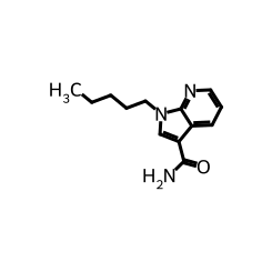 CCCCCn1cc(C(N)=O)c2cccnc21